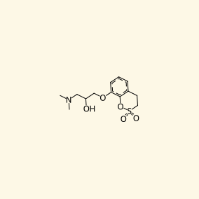 CN(C)CC(O)COc1cccc2c1OS(=O)(=O)CC2